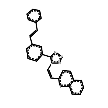 C(=Cc1cccc(-c2nnnn2/C=C\c2ccc3ccccc3n2)c1)c1ccccc1